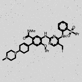 CNC(=O)c1cc(Nc2ncc(CI)c(Nc3ccccc3S(=O)(=O)C(C)C)n2)c(OC(C)C)cc1C1=CCC(N2CCN(C)CC2)CC1